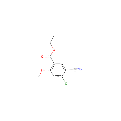 CCOC(=O)c1cc(C#N)c(Cl)cc1OC